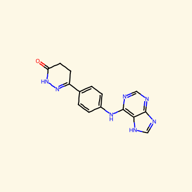 O=C1CCC(c2ccc(Nc3ncnc4nc[nH]c34)cc2)=NN1